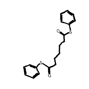 O=C(CCCCCC(=O)Sc1ccccc1)Sc1ccccc1